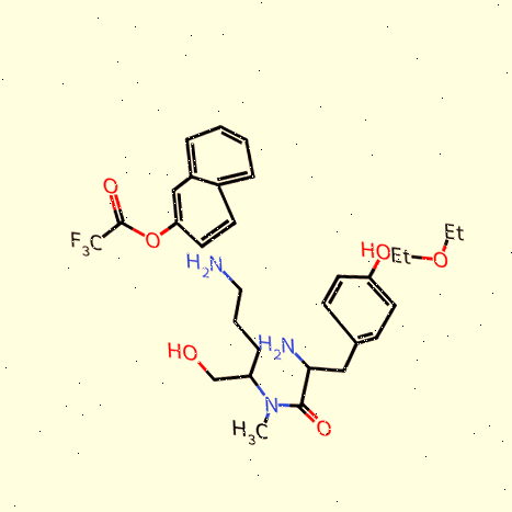 CCOCC.CN(C(=O)C(N)Cc1ccc(O)cc1)C(CO)CCCN.O=C(Oc1ccc2ccccc2c1)C(F)(F)F